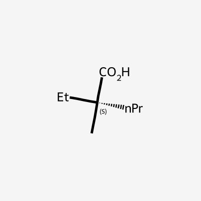 CCC[C@](C)(CC)C(=O)O